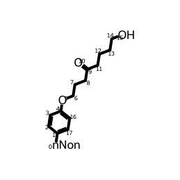 CCCCCCCCCc1ccc(OCCCC(=O)CCCCO)cc1